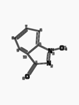 O=C1N=[N+]([O-])c2c[c]ccc21